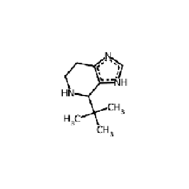 CC(C)(C)C1NCCc2nc[nH]c21